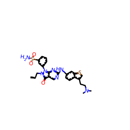 C=CCn1c(=O)c2cnc(Nc3ccc4c(CCN(C)C)csc4c3)nc2n1-c1cccc(S(N)(=O)=O)c1